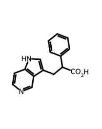 O=C(O)C(Cc1c[nH]c2ccncc12)c1ccccc1